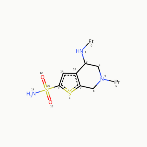 CCNC1CN(C(C)C)Cc2sc(S(N)(=O)=O)cc21